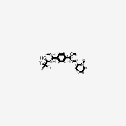 CNC(NC(O)C(F)(F)F)c1ccc(C(NC[C@H]2COCCN2C)OC)cc1